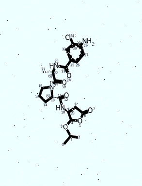 CC(C)OC1OC(=O)C[C@@H]1NC(=O)[C@@H]1CCCN1C(=O)[C@H](C)NC(=O)c1ccc(N)c(Cl)c1